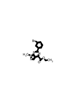 CCOC(=O)c1nc(-c2cccc(Br)c2)nc2c1cnn2C